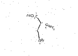 CCCCCC(=O)O.[GaH3]